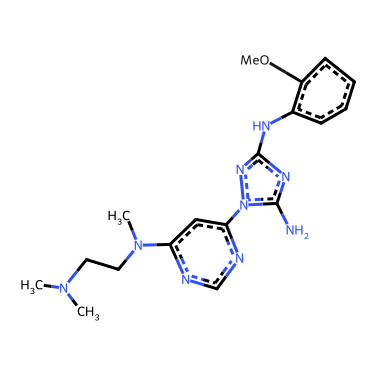 COc1ccccc1Nc1nc(N)n(-c2cc(N(C)CCN(C)C)ncn2)n1